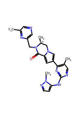 Cc1cnc(Nc2ccnn2C)nc1-c1cc2n(c1)C[C@H](C)N(Cc1cncc(C(F)(F)F)n1)C2=O